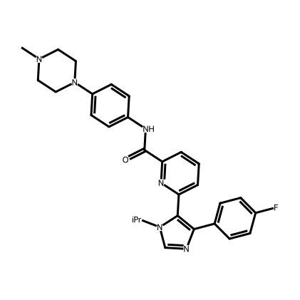 CC(C)n1cnc(-c2ccc(F)cc2)c1-c1cccc(C(=O)Nc2ccc(N3CCN(C)CC3)cc2)n1